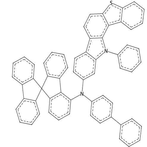 c1ccc(-c2ccc(N(c3ccc4c5ccc6sc7ccccc7c6c5n(-c5ccccc5)c4c3)c3cccc4c3-c3ccccc3C43c4ccccc4-c4ccccc43)cc2)cc1